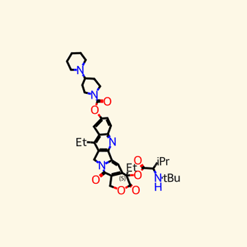 CCc1c2c(nc3ccc(OC(=O)N4CCC(N5CCCCC5)CC4)cc13)-c1cc3c(c(=O)n1C2)COC(=O)[C@@]3(CC)OC(=O)C(NC(C)(C)C)C(C)C